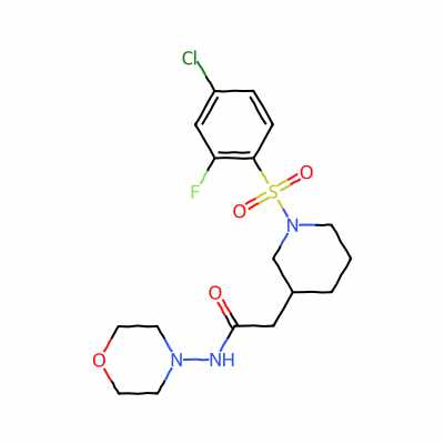 O=C(CC1CCCN(S(=O)(=O)c2ccc(Cl)cc2F)C1)NN1CCOCC1